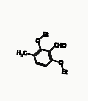 CCOc1ccc(C)c(OCC)c1C=O